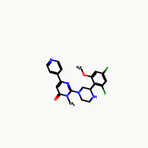 COc1cc(F)cc(F)c1C1CN(c2nc(-c3ccncc3)cc(=O)n2C)CCN1